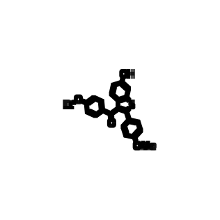 CCOc1ccc(C(=O)c2c(-c3ccc(OC)cc3)sc3cc(O)ccc23)cc1